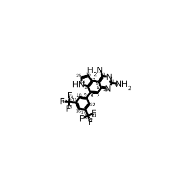 Nc1nc(N)c2c(cc(-c3cc(C(F)(F)F)cc(C(F)(F)F)c3)c3[nH]ccc32)n1